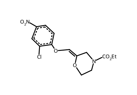 CCOC(=O)N1CCO/C(=C\Oc2ccc([N+](=O)[O-])cc2Cl)C1